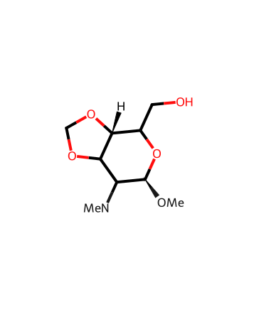 CNC1C2OCO[C@@H]2C(CO)O[C@H]1OC